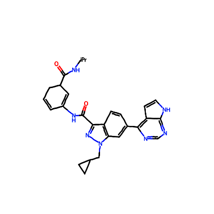 CC(C)NC(=O)C1C=C(NC(=O)c2nn(CC3CC3)c3cc(-c4ncnc5[nH]ccc45)ccc23)C=CC1